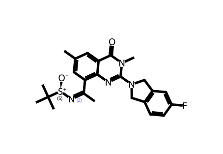 C/C(=N/[S@+]([O-])C(C)(C)C)c1cc(C)cc2c(=O)n(C)c(N3Cc4ccc(F)cc4C3)nc12